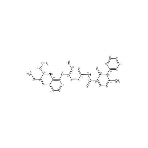 COc1cc2nccc(Oc3ccc(NC(=O)c4ccc(C)n(-c5cccnc5)c4=O)cc3F)c2nc1OC